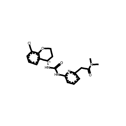 CN(C)C(=O)Cc1cccc(NC(=O)N[C@H]2CCOc3c(Cl)cccc32)n1